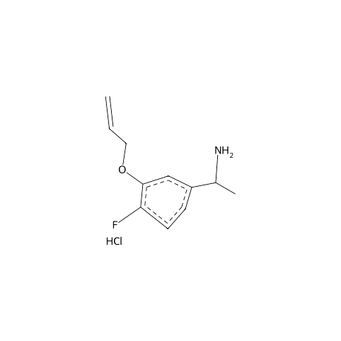 C=CCOc1cc(C(C)N)ccc1F.Cl